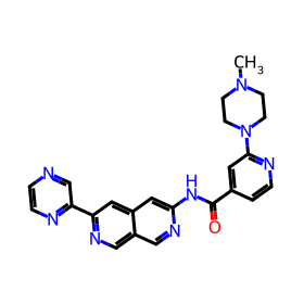 CN1CCN(c2cc(C(=O)Nc3cc4cc(-c5cnccn5)ncc4cn3)ccn2)CC1